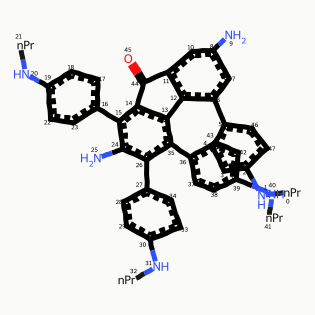 CCCNc1ccc(-c2cc(N)cc3c2-c2c(c(-c4ccc(NCCC)cc4)c(N)c(-c4ccc(NCCC)cc4)c2-c2ccc(NCCC)cc2)C3=O)cc1